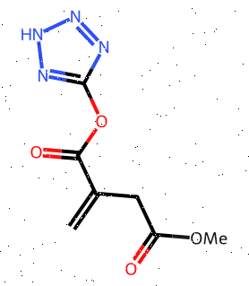 C=C(CC(=O)OC)C(=O)Oc1nn[nH]n1